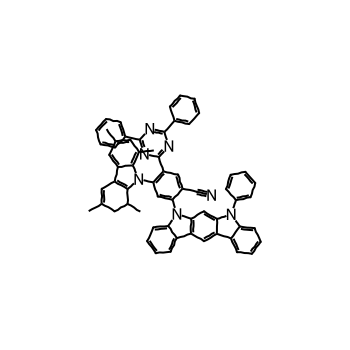 CC1=Cc2c(n(-c3cc(-n4c5ccccc5c5cc6c7ccccc7n(-c7ccccc7)c6cc54)c(C#N)cc3-c3nc(-c4ccccc4)nc(-c4ccccc4)n3)c3c(C)cc(C)cc23)C(C)C1